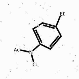 CCc1ccc(N(Cl)C(C)=O)cc1